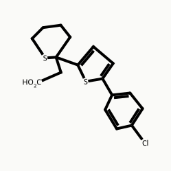 O=C(O)CC1(c2ccc(-c3ccc(Cl)cc3)s2)CCCCS1